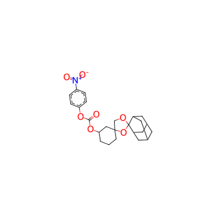 O=C(Oc1ccc([N+](=O)[O-])cc1)OC1CCCC2(COC3(O2)C2CC4CC(C2)CC3C4)C1